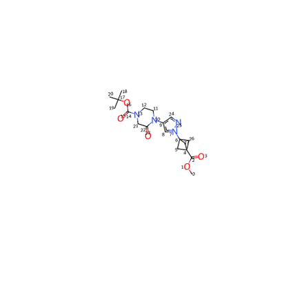 COC(=O)C12CC(n3cc(N4CCN(C(=O)OC(C)(C)C)CC4=O)cn3)(C1)C2